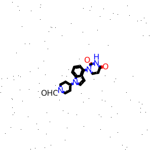 O=CN1CCC(n2ccc3c(N4CCC(=O)NC4=O)cccc32)CC1